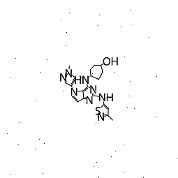 Cc1cc(Nc2nc(N[C@H]3CC[C@H](O)CC3)c3c(ccn3-c3cnn(C)c3)n2)sn1